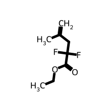 C=C(C)CC(F)(F)C(=O)OCC